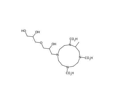 CC1CN(C(=O)O)CCN(C(=O)O)CCN(CC(O)COCC(O)CO)CCN1C(=O)O